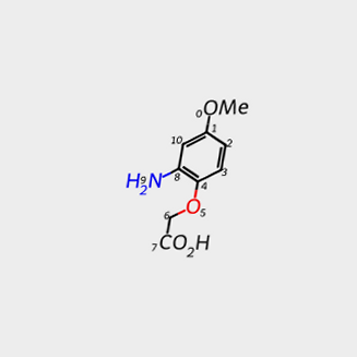 COc1ccc(OCC(=O)O)c(N)c1